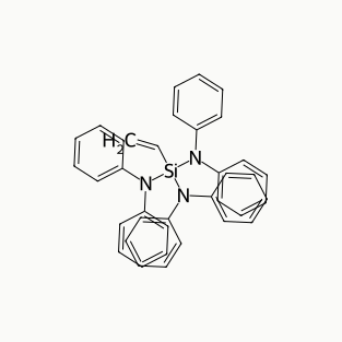 C=C[Si](N(c1ccccc1)c1ccccc1)(N(c1ccccc1)c1ccccc1)N(c1ccccc1)c1ccccc1